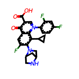 O=C(O)c1cn(-c2ccc(F)cc2F)c2c(C3CC3)c(N3CC4CC3CN4)c(F)cc2c1=O